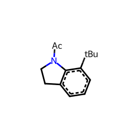 CC(=O)N1CCc2cccc(C(C)(C)C)c21